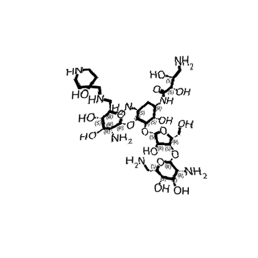 NC[C@@H]1O[C@H](O[C@H]2[C@@H](O)[C@H](O[C@@H]3[C@@H](O)[C@H](NC(=O)[C@@H](O)[C@@H](O)CN)C[C@H](N)[C@H]3O[C@H]3O[C@H](CNCC4(O)CCNCC4)[C@@H](O)[C@H](O)[C@H]3N)O[C@@H]2CO)[C@H](N)[C@@H](O)[C@@H]1O